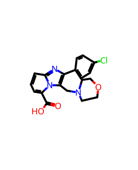 O=C(O)c1cccc2nc(-c3ccc(Cl)cc3)c(CN3CCOCC3)n12